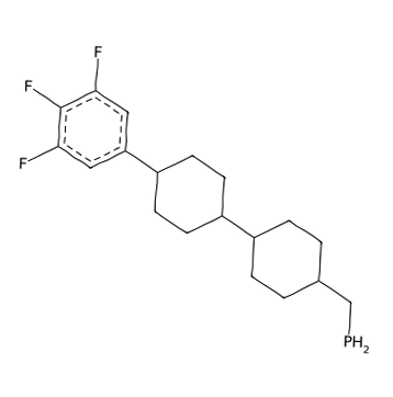 Fc1cc(C2CCC(C3CCC(CP)CC3)CC2)cc(F)c1F